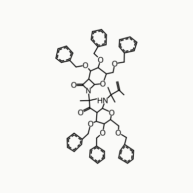 C=C(C)C(C)(C)NC1OC(COCc2ccccc2)C(OCc2ccccc2)C(OCc2ccccc2)C1C(=O)C(C)(C)N1C(=O)C2C(OCc3ccccc3)C(OCc3ccccc3)C(COCc3ccccc3)OC21